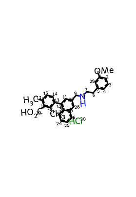 COc1cccc(CCNCc2cc(-c3ccc(C)c(C(=O)O)c3C)c3ccccc3c2)c1.Cl